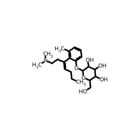 CCC/C=C(/CCN(C)C)c1c(C)cccc1OC1OC(CO)C(O)C(O)C1O